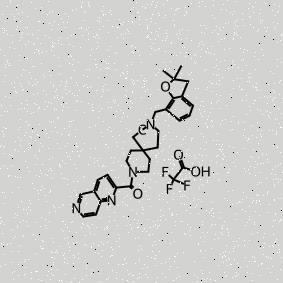 CC1(C)Cc2cccc(CN3CCC4(CC3)CCN(C(=O)c3ccc5cnccc5n3)CC4)c2O1.O=C(O)C(F)(F)F